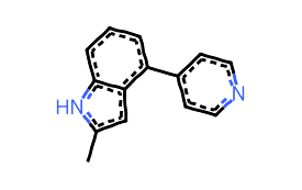 Cc1cc2c(-c3ccncc3)cccc2[nH]1